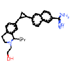 CC(C)C1c2cc(C3CC3c3ccc4cc(C(=N)N)ccc4c3)ccc2CCN1CCO